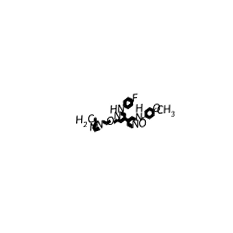 C=Cc1nccn1CCOCc1cc(-c2ccnc(NC(=O)[C@H]3CC[C@@H](OC)CC3)c2)cc(Nc2ccc(F)cc2)n1